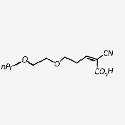 CCCOCCOCCC=C(C#N)C(=O)O